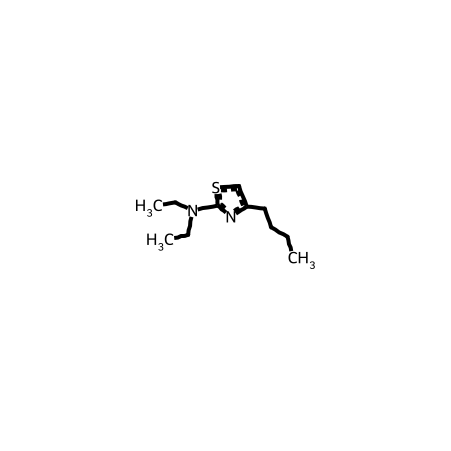 CCCCc1csc(N(CC)CC)n1